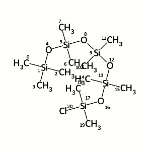 C[Si](C)(C)O[Si](C)(C)O[Si](C)(C)O[Si](C)(C)O[Si](C)(C)Cl